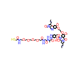 C/C=C/C1=CN(C=O)C(/C=N\c2cc(OCCCOc3cc4c(cc3OC)C(=O)N3C=C(/C=C/C)CC3C(O)N4C(=O)OCc3ccc(NC(=O)C(C)NC(=O)CNC(=O)CCOCCOCCOCCOCCNC(=O)CS)cc3)c(OC)cc2C)C1